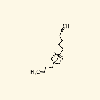 C#CCCCCC12OCC(CCCC)(CS1)CS2